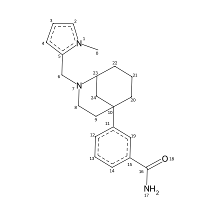 Cn1cccc1CN1CCC2(c3cccc(C(N)=O)c3)CCCC1C2